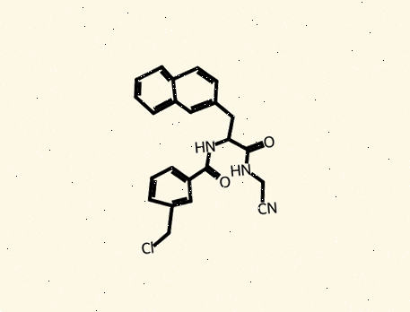 N#CCNC(=O)C(Cc1ccc2ccccc2c1)NC(=O)c1cccc(CCl)c1